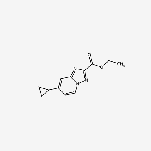 CCOC(=O)c1nc2cc(C3CC3)ccn2n1